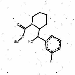 CC(C)(C)OC(=O)N1CCCCC1C(O)c1cccc(F)c1